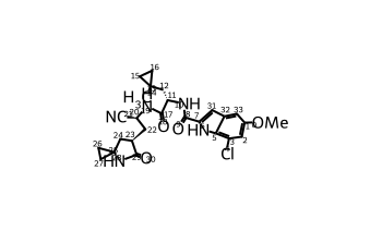 COc1cc(Cl)c2[nH]c(C(=O)N[C@@H](CC3(C)CC3)C(=O)N[C@H](C#N)C[C@@H]3CC4(CC4)NC3=O)cc2c1